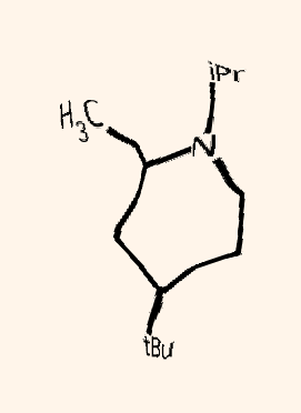 CC(C)N1CCC(C(C)(C)C)CC1C